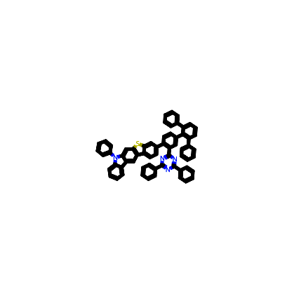 c1ccc(-c2nc(-c3ccccc3)nc(-c3cc(-c4c(-c5ccccc5)cccc4-c4ccccc4)ccc3-c3ccc4c(c3)sc3cc5c(cc34)c3ccccc3n5-c3ccccc3)n2)cc1